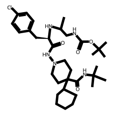 CC(CNC(=O)OC(C)(C)C)N[C@H](Cc1ccc(Cl)cc1)C(=O)NN1CCC(C(=O)NC(C)(C)C)(C2CCCCC2)CC1